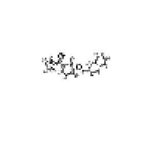 Cc1c(OCc2ccc3ccccc3c2)cccc1C(=O)c1nccs1